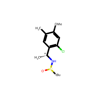 COc1cc(Cl)c([C@@H](C)N[S+]([O-])C(C)(C)C)cc1C